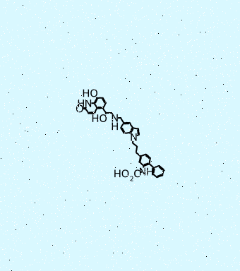 O=C(O)Nc1cc(CCCn2ccc3cc(CNC[C@@H](O)c4ccc(O)c5[nH]c(=O)ccc45)ccc32)ccc1-c1ccccc1